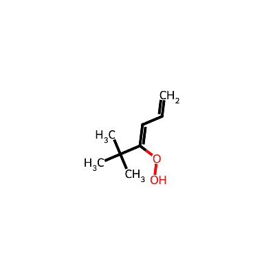 C=CC=C(OO)C(C)(C)C